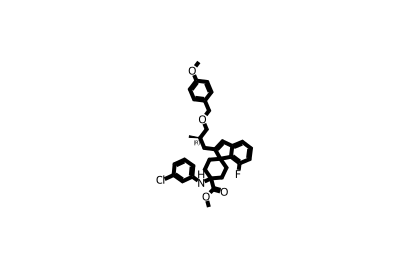 COC(=O)C1(Nc2cccc(Cl)c2)CCC2(CC1)C(C[C@@H](C)COCc1ccc(OC)cc1)=Cc1cccc(F)c12